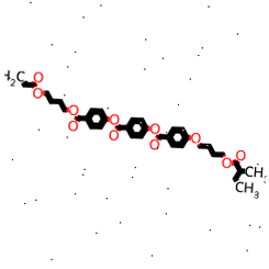 C=CC(=O)OCCCCOC(=O)c1ccc(OC(=O)c2ccc(OC(=O)c3ccc(OCCCCOC(=O)C(C)CC)cc3)cc2)cc1